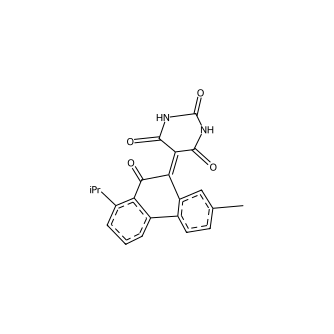 Cc1ccc2c(c1)C(=C1C(=O)NC(=O)NC1=O)C(=O)c1c-2cccc1C(C)C